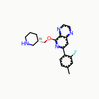 Cc1ccc(-c2cc3nccnc3c(OC[C@H]3CCCNC3)n2)c(F)c1